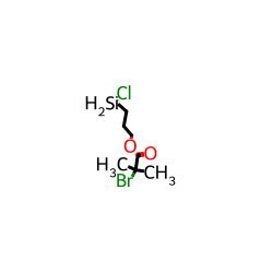 CC(C)(Br)C(=O)OCCC[SiH2]Cl